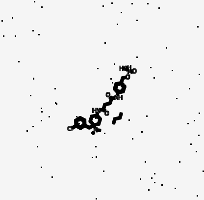 CCCC.CN(C)C1(Cc2cccc(Cl)c2)CCC(NC(=O)CCC(=O)Nc2ccc(CO[PH](=O)O)cc2)CC1